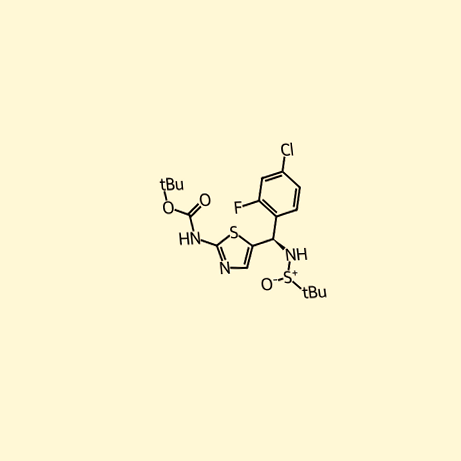 CC(C)(C)OC(=O)Nc1ncc([C@H](N[S+]([O-])C(C)(C)C)c2ccc(Cl)cc2F)s1